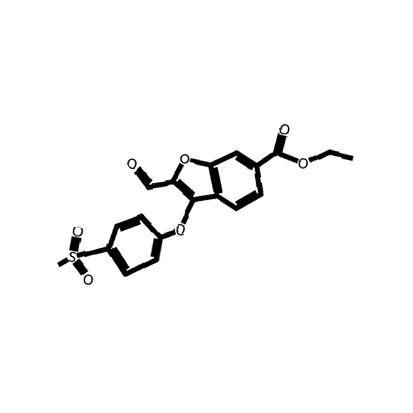 CCOC(=O)c1ccc2c(Oc3ccc(S(C)(=O)=O)cc3)c(C=O)oc2c1